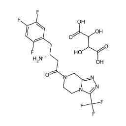 N[C@@H](CC(=O)N1CCn2c(nnc2C(F)(F)F)C1)Cc1cc(F)c(F)cc1F.O=C(O)C(O)C(O)C(=O)O